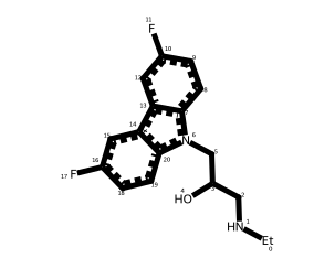 CCNCC(O)Cn1c2ccc(F)cc2c2cc(F)ccc21